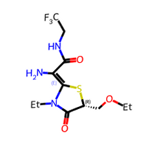 CCOC[C@H]1S/C(=C(/N)C(=O)NCC(F)(F)F)N(CC)C1=O